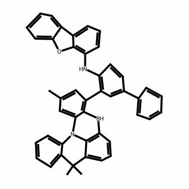 Cc1cc(-c2cc(-c3ccccc3)ccc2Nc2cccc3c2oc2ccccc23)c2c(c1)N1c3ccccc3C(C)(C)c3cccc(c31)B2